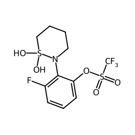 O=S(=O)(Oc1cccc(F)c1N1CCCCS1(O)O)C(F)(F)F